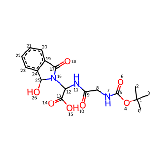 CC(C)(C)OC(=O)NCC(=O)NC(C(=O)O)N1C(=O)c2ccccc2C1O